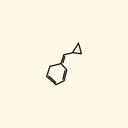 C1=CCC(=CC2CC2)C=C1